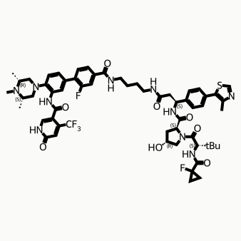 Cc1ncsc1-c1ccc([C@H](CC(=O)NCCCCNC(=O)c2ccc(-c3ccc(N4C[C@@H](C)N(C)[C@@H](C)C4)c(NC(=O)c4c[nH]c(=O)cc4C(F)(F)F)c3)c(F)c2)NC(=O)[C@@H]2C[C@@H](O)CN2C(=O)[C@@H](NC(=O)C2(F)CC2)C(C)(C)C)cc1